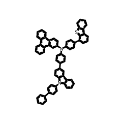 c1ccc(-c2ccc(-n3c4ccccc4c4cc(-c5ccc(N(c6ccc(-c7cccc8c7sc7ccccc78)cc6)c6ccc7c8ccccc8c8ccccc8c7c6)cc5)ccc43)cc2)cc1